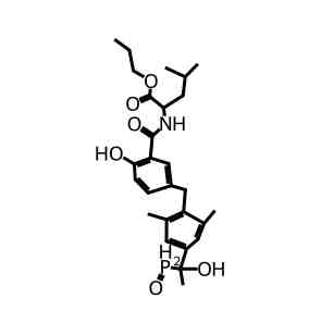 CCCOC(=O)C(CC(C)C)NC(=O)c1cc(Cc2c(C)cc(C(C)(O)[PH2]=O)cc2C)ccc1O